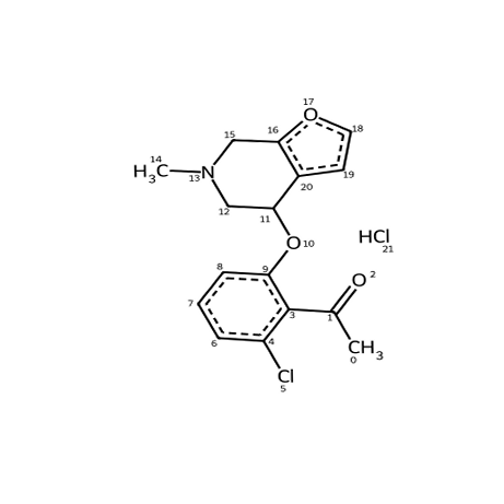 CC(=O)c1c(Cl)cccc1OC1CN(C)Cc2occc21.Cl